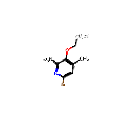 CCOC(=O)COc1c(C)cc(Br)nc1[N+](=O)[O-]